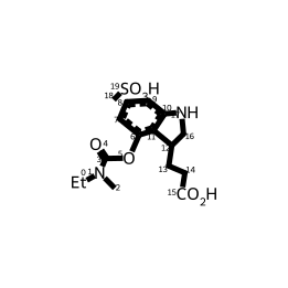 CCN(C)C(=O)Oc1cccc2c1C(CCC(=O)O)CN2.CS(=O)(=O)O